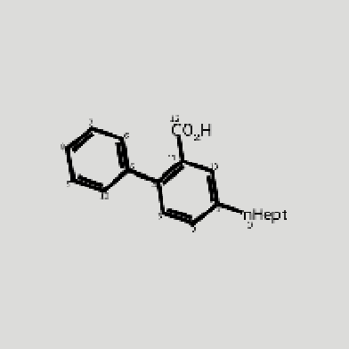 CCCCCCCc1ccc(-c2ccccc2)c(C(=O)O)c1